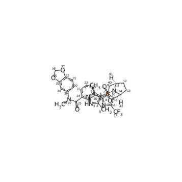 Cc1n[nH]c(C)c1S(=O)(=O)N1[C@@H]2CC[C@H]1c1c(C(F)(F)F)nn(-c3cccc(C(=O)N(C)c4ccc5c(c4)OCO5)c3)c1C2